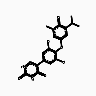 CC(C)c1cc(Oc2c(Cl)cc(-c3n[nH]c(=O)[nH]c3=O)cc2Cl)nn(C)c1=O